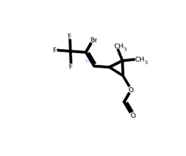 CC1(C)C(/C=C(\Br)C(F)(F)F)C1OC=O